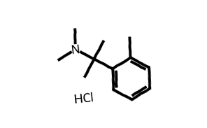 Cc1ccccc1C(C)(C)N(C)C.Cl